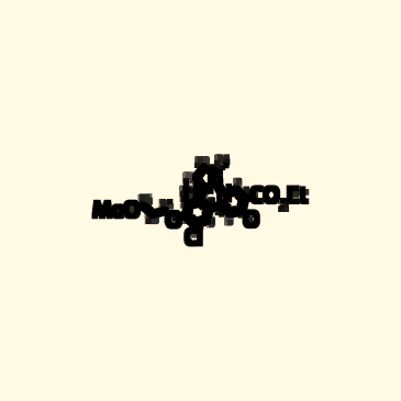 CCOC(=O)c1cn2c(cc1=O)-c1cc(Cl)c(OCCCOC)cc1[C@@H]1CC[C@H](C)N12